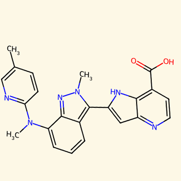 Cc1ccc(N(C)c2cccc3c(-c4cc5nccc(C(=O)O)c5[nH]4)n(C)nc23)nc1